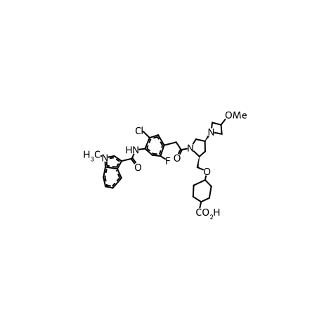 COC1CN([C@H]2C[C@@H](COC3CCC(C(=O)O)CC3)N(C(=O)Cc3cc(Cl)c(NC(=O)c4cn(C)c5ccccc45)cc3F)C2)C1